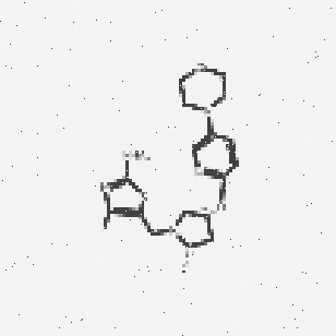 CC(=O)Nc1nc(F)c(CN2C[C@H](Oc3ccc(N4CCOCC4)cn3)C[C@@H]2C)s1